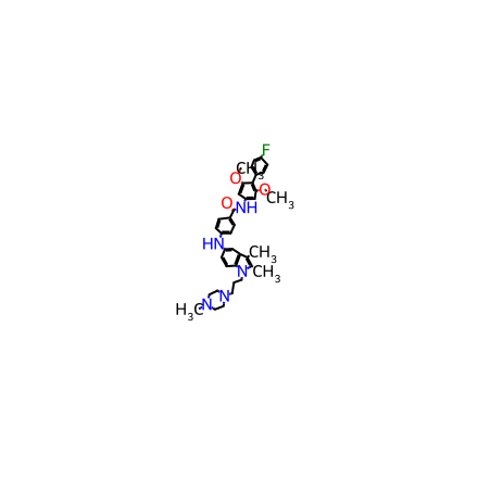 COc1cc(NC(=O)c2ccc(Nc3ccc4c(c3)c(C)c(C)n4CCCN3CCN(C)CC3)cc2)cc(OC)c1-c1ccc(F)cc1